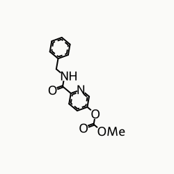 COC(=O)Oc1ccc(C(=O)NCc2ccccc2)nc1